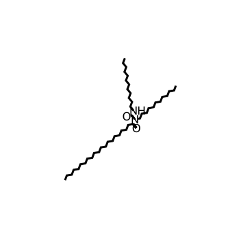 CCCCCCCCCCCCCCCCCCCCC(=O)N(CCCCCCCCCCCC)C(=O)NCCCCCCCCCCCC